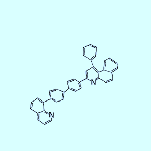 c1ccc(-c2cc(-c3ccc(-c4ccc(-c5cccc6cccnc56)cc4)cc3)nc3ccc4ccccc4c23)cc1